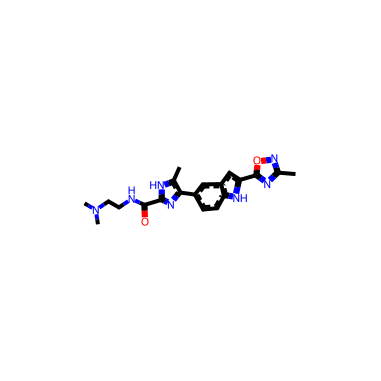 Cc1noc(-c2cc3cc(-c4nc(C(=O)NCCN(C)C)[nH]c4C)ccc3[nH]2)n1